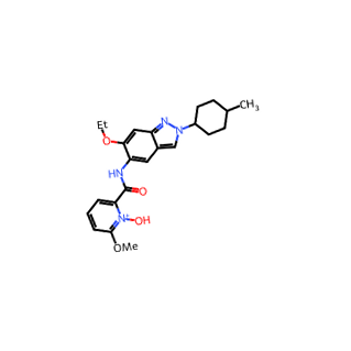 CCOc1cc2nn(C3CCC(C)CC3)cc2cc1NC(=O)c1cccc(OC)[n+]1O